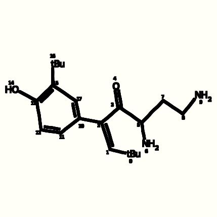 CC(C)(C)C=C(C(=O)C(N)CCN)c1ccc(O)c(C(C)(C)C)c1